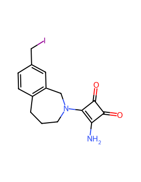 Nc1c(N2CCCc3ccc(CI)cc3C2)c(=O)c1=O